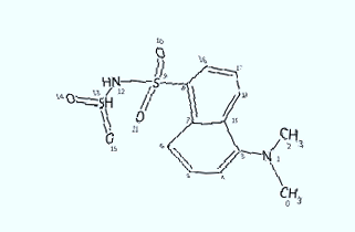 CN(C)c1cccc2c(S(=O)(=O)N[SH](=O)=O)cccc12